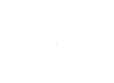 O=C1CCCN(c2cccnc2Cl)C1